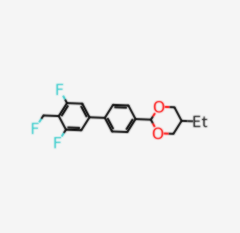 CCC1COC(c2ccc(-c3cc(F)c(CF)c(F)c3)cc2)OC1